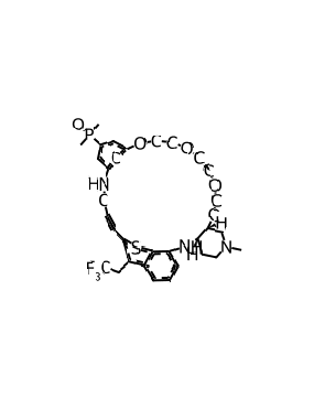 CN1CC[C@@H]2Nc3cccc4c(CC(F)(F)F)c(sc34)C#CCNc3cc(cc(P(C)(C)=O)c3)OCCOCCOCC[C@@H]2C1